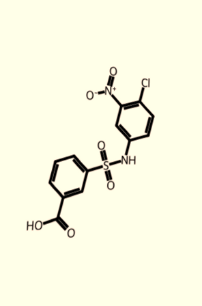 O=C(O)c1cccc(S(=O)(=O)Nc2ccc(Cl)c([N+](=O)[O-])c2)c1